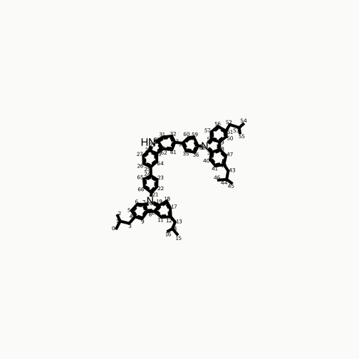 CC(C)Cc1ccc2c(c1)c1cc(CC(C)C)ccc1n2-c1ccc(-c2ccc3[nH]c4ccc(-c5ccc(-n6c7ccc(CC(C)C)cc7c7cc(CC(C)C)ccc76)cc5)cc4c3c2)cc1